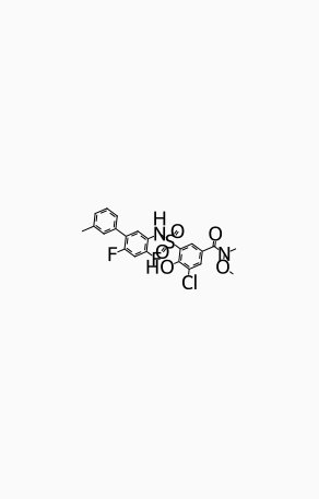 CON(C)C(=O)c1cc(Cl)c(O)c(S(=O)(=O)Nc2cc(-c3cccc(C)c3)c(F)cc2F)c1